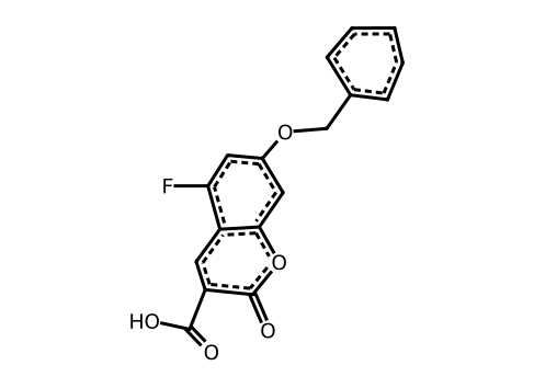 O=C(O)c1cc2c(F)cc(OCc3ccccc3)cc2oc1=O